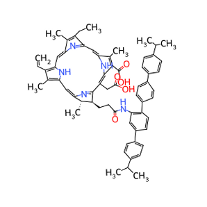 C=Cc1c(C)c2cc3nc(c(CC(=O)O)c4[nH]c(cc5nc(cc1[nH]2)C(C)=C5CC)c(C)c4C(=O)O)[C@@H](CCC(=O)Nc1cc(-c2ccc(C(C)C)cc2)ccc1-c1ccc(-c2ccc(C(C)C)cc2)cc1)[C@@H]3C